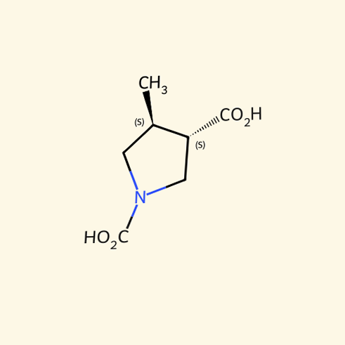 C[C@@H]1CN(C(=O)O)C[C@H]1C(=O)O